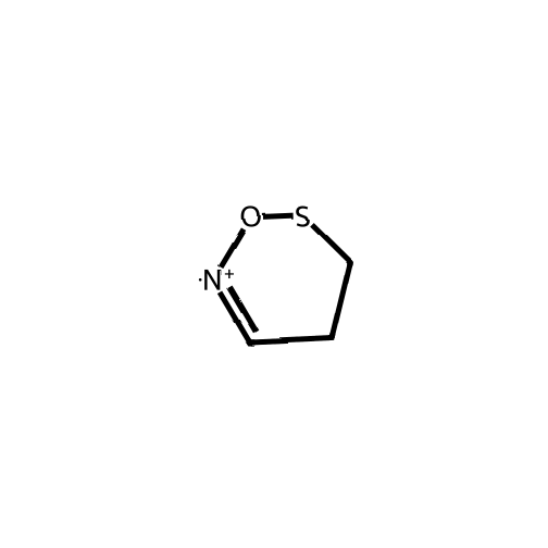 C1=[N+]OSCC1